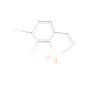 Nc1ccc2c(c1O)S(=O)(=O)CC=C2